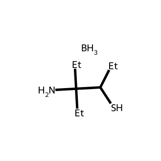 B.CCC(S)C(N)(CC)CC